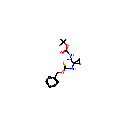 CC(C)(C)OC(=O)NNC1(NC(=S)OCc2ccccc2)CC1